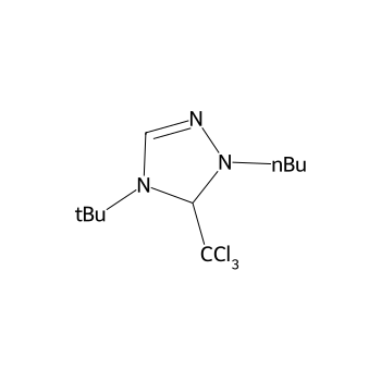 CCCCN1N=CN(C(C)(C)C)C1C(Cl)(Cl)Cl